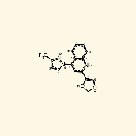 FC(F)(F)c1ccn(-c2cc(C3=COCO3)nc3ccccc23)n1